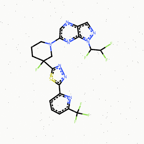 FC(F)C(F)n1ncc2ncc(N3CCCC(F)(c4nnc(-c5cccc(C(F)(F)F)n5)s4)C3)nc21